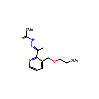 COCCOCc1cccnc1/C(C)=N/NC(=S)SC